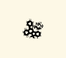 CC1(C)c2ccccc2-c2c1c1ccccc1c1c3ccccc3n(-c3ccncn3)c21